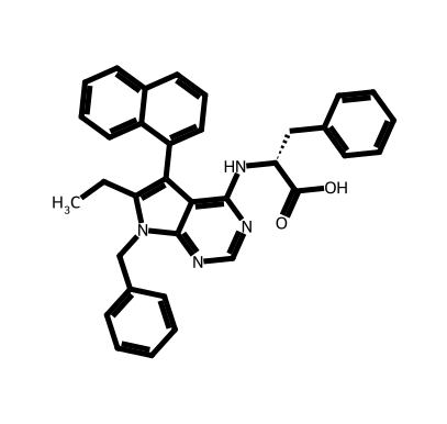 CCc1c(-c2cccc3ccccc23)c2c(N[C@H](Cc3ccccc3)C(=O)O)ncnc2n1Cc1ccccc1